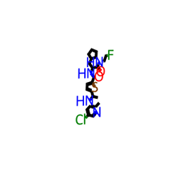 Cc1ncc(Cl)cc1NC(C)c1ccc(C(=O)NC(CC2CCCC2)C(=O)NCCF)s1